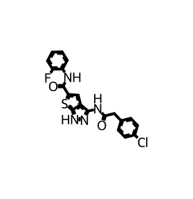 O=C(Cc1ccc(Cl)cc1)Nc1n[nH]c2sc(C(=O)Nc3ccccc3F)cc12